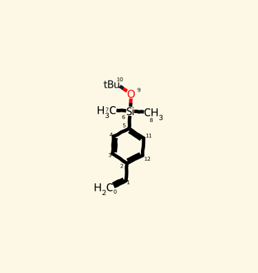 C=Cc1ccc([Si](C)(C)OC(C)(C)C)cc1